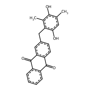 Cc1cc(O)c(Cc2ccc3c(c2)C(=O)c2ccccc2C3=O)c(C)c1O